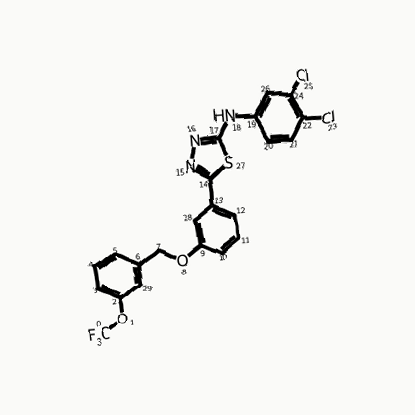 FC(F)(F)Oc1cccc(COc2cccc(-c3nnc(Nc4ccc(Cl)c(Cl)c4)s3)c2)c1